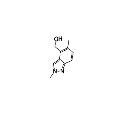 Cc1ccc2nn(C)cc2c1CO